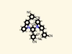 N#Cc1cc(C#N)cc(-c2ccc3c4ccccc4n(-c4cc(-c5ccc(C#N)cc5C(F)(F)F)cc(-n5c6ccccc6c6ccc(-c7cc(C#N)cc(C#N)c7)cc65)c4C#N)c3c2)c1